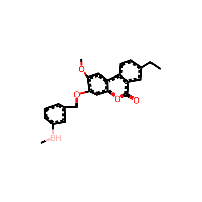 CBc1cccc(COc2cc3oc(=O)c4cc(CC)ccc4c3cc2OC)c1